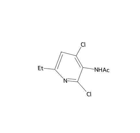 CCc1cc(Cl)c(NC(C)=O)c(Cl)n1